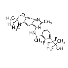 Cc1nc(N[C@H](C)c2cccc(C(F)(F)C(C)(C)O)c2F)c2cc3c(cc2n1)OCC(C)(C)N3C